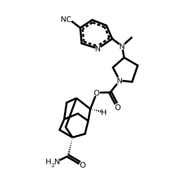 CN(c1ccc(C#N)cn1)C1CCN(C(=O)O[C@H]2C3CC4CC2C[C@](C(N)=O)(C4)C3)C1